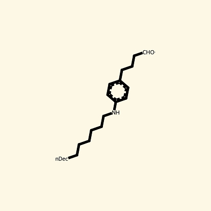 CCCCCCCCCCCCCCCCNc1ccc(CCC[C]=O)cc1